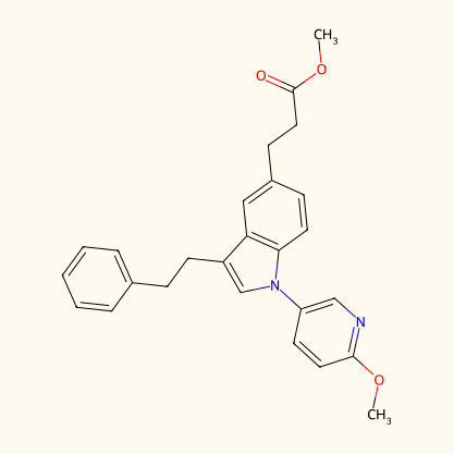 COC(=O)CCc1ccc2c(c1)c(CCc1ccccc1)cn2-c1ccc(OC)nc1